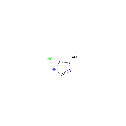 Cl.Cl.[AlH3].c1c[nH]cn1